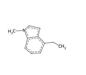 CCc1cccc2c1ccn2C